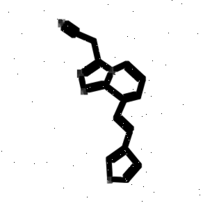 N#CCc1nnc2c(C=Cc3ccsc3)cccn12